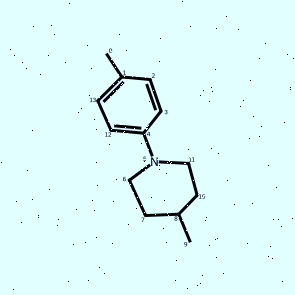 Cc1ccc(N2CCC(C)CC2)cc1